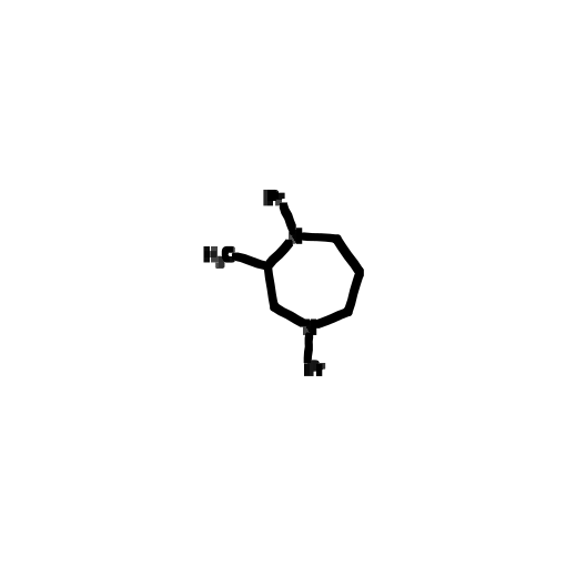 CC(C)N1CCCN(C(C)C)C(C)C1